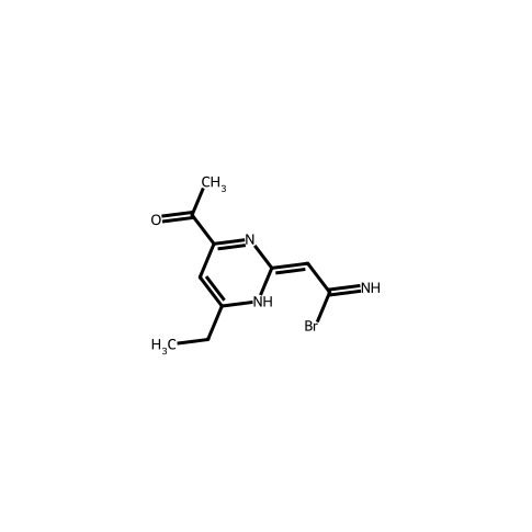 CCC1=CC(C(C)=O)=N/C(=C/C(=N)Br)N1